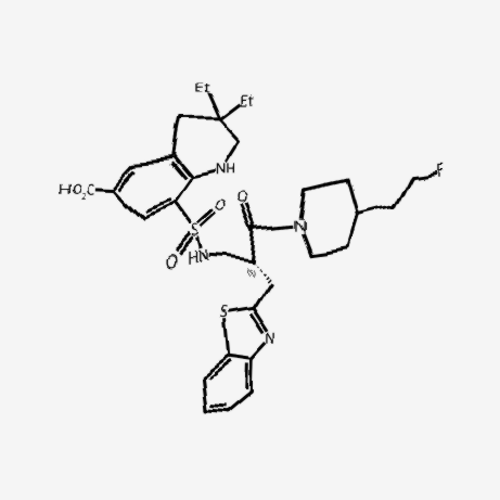 CCC1(CC)CNc2c(cc(C(=O)O)cc2S(=O)(=O)N[C@@H](Cc2nc3ccccc3s2)C(=O)N2CCC(CCF)CC2)C1